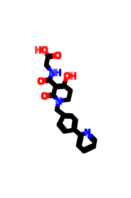 O=C(O)CNC(=O)C1=C(O)CCN(Cc2ccc(-c3ccccn3)cc2)C1=O